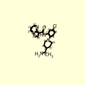 CC(N)C1CCN(c2ccc(Cl)cc2NC(=O)c2cnn3cccnc23)CC1